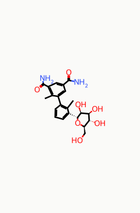 Cc1c(C(N)=O)cc(C(N)=O)cc1-c1cccc([C@H]2O[C@H](CO)[C@@H](O)[C@H](O)[C@@H]2O)c1C